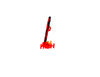 CCCCCCCCCCCCCCCC(=O)CCCCCC=CCC=CCC=CCC=CCCCC(=O)POCC(O)CO